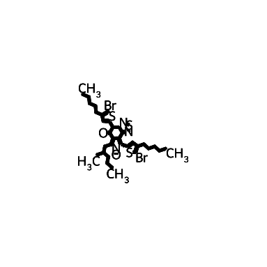 CCCCCCc1cc(C2=C3C(=C(CC(CC)CCCC)[N+]2=O)C(=O)C(c2cc(CCCCCC)c(Br)s2)c2nsnc23)sc1Br